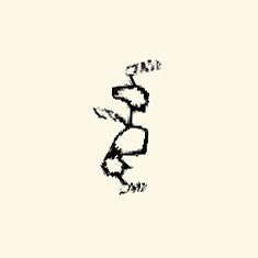 CCC1(c2ccc(OC)cc2)CCCc2cc(OC)ccc2C1